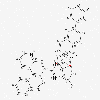 C\C1=C(c2ccccc2)/N=C(c2cc3ncccc3c3c2ccc2ccccc23)\N=C(\c2ccc3cc(-c4ccccc4)ccc3c2)CC1